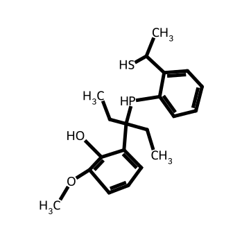 CCC(CC)(Pc1ccccc1C(C)S)c1cccc(OC)c1O